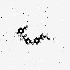 CCNc1ncc(-c2ccc(Oc3ncc(NC(=O)Nc4cc(C(F)(F)F)ccc4Cl)cn3)cc2)s1